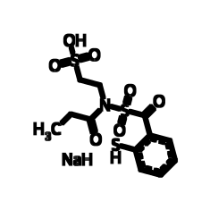 CCC(=O)N(CCS(=O)(=O)O)S(=O)(=O)C(=O)c1ccccc1S.[NaH]